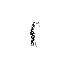 CCCCC=CC1CCC(C2CCC(COCCC)CC2)CC1